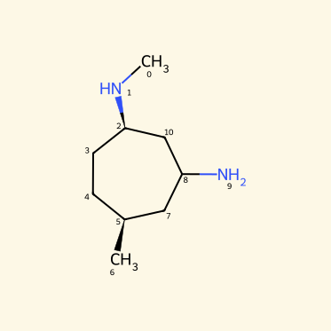 CN[C@@H]1CC[C@H](C)CC(N)C1